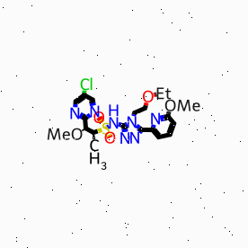 CCOCCn1c(NS(=O)(=O)[C@@H](C)[C@H](OC)c2ncc(Cl)cn2)nnc1-c1cccc(OC)n1